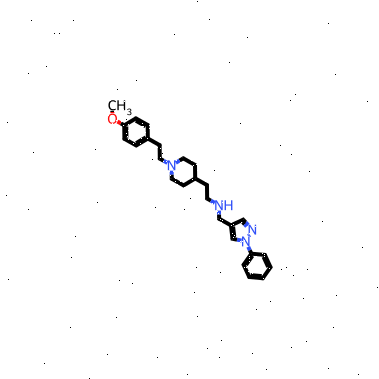 COc1ccc(CCN2CCC(CCNCc3cnn(-c4ccccc4)c3)CC2)cc1